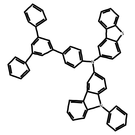 c1ccc(-c2cc(-c3ccccc3)cc(-c3ccc(N(c4ccc5sc6ccccc6c5c4)c4ccc5c(c4)c4ccccc4n5-c4ccccc4)cc3)c2)cc1